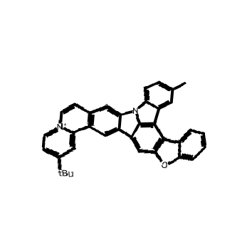 Cc1ccc2c(c1)c1c3c(cc4c5cc6c(cc[n+]7ccc(C(C)(C)C)cc67)cc5n2c41)oc1ccccc13